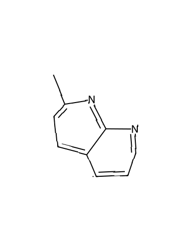 Cc1ccc2[c]ccnc2n1